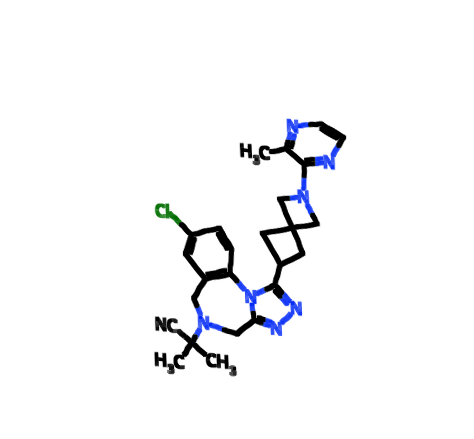 Cc1nccnc1N1CC2(CC(c3nnc4n3-c3ccc(Cl)cc3CN(C(C)(C)C#N)C4)C2)C1